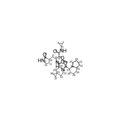 O=C(NC1CC1)C(=O)C(CC1CCNC1=O)NC(=O)C1CC2(CCN1C(=O)C1CCCc3ccccc31)CC2